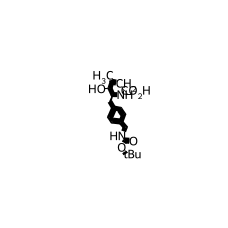 C=C(C)[C@@H](O)[C@H](Cc1ccc(CNC(=O)OC(C)(C)C)cc1)NC(=O)O